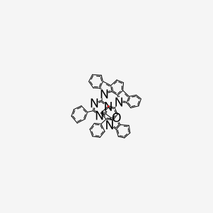 c1ccc(-c2ccc(-n3c4ccccc4c4ccc5c6ccccc6n(-c6nc(-c7ccccc7)nc(-c7nc8ccccc8o7)n6)c5c43)cc2)cc1